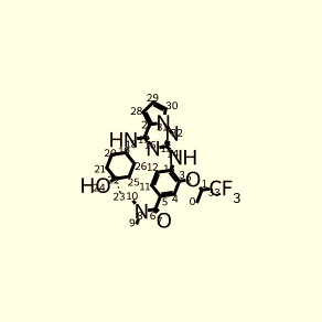 CC(Oc1cc(C(=O)N(C)C)ccc1Nc1nc(N[C@H]2CC[C@](C)(O)CC2)c2cccn2n1)C(F)(F)F